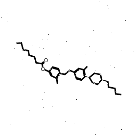 CCCCCCCC(=O)Oc1ccc(CCc2ccc([C@H]3CC[C@H](CCCCC)CC3)c(C)c2)c(C)c1